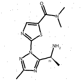 Cc1nc([C@H](C)N)n(-c2ncc(C(=O)N(C)C)s2)n1